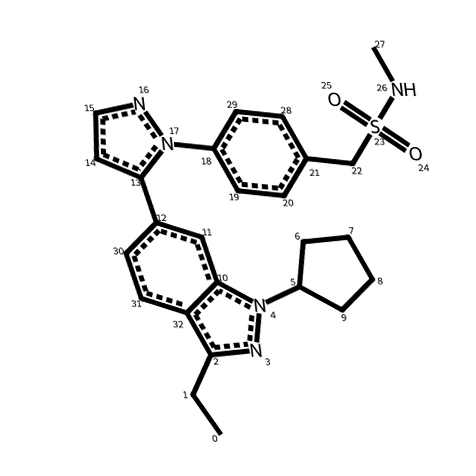 CCc1nn(C2CCCC2)c2cc(-c3ccnn3-c3ccc(CS(=O)(=O)NC)cc3)ccc12